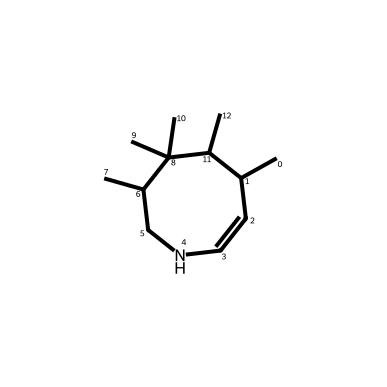 CC1C=CNCC(C)C(C)(C)C1C